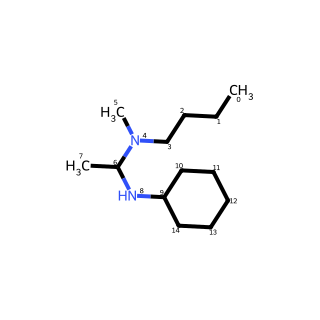 CCCCN(C)C(C)NC1CCCCC1